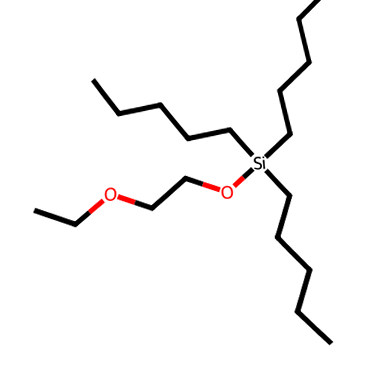 CCCCC[Si](CCCCC)(CCCCC)OCCOCC